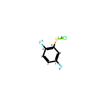 Fc1ccc(F)c(SCl)c1